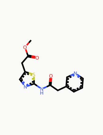 COC(=O)Cc1cnc(NC(=O)Cc2cccnc2)s1